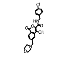 O=C(NCc1ccc(Cl)cc1)c1oc(=O)c2ccc(CN3CCOCC3)cc2c1O